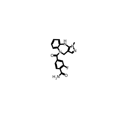 Cn1ncc2c1Nc1ccccc1N(C(=O)c1ccc(C(N)=O)c(F)c1)C2